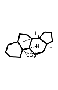 C[C@@]12CCC[C@H]1[C@@H]1CCC3CCCC[C@]3(C(=O)O)[C@@H]1CC2